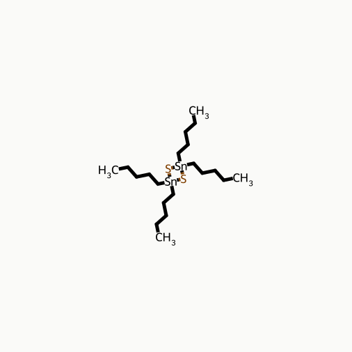 CCCC[CH2][Sn]1([CH2]CCCC)[S][Sn]([CH2]CCCC)([CH2]CCCC)[S]1